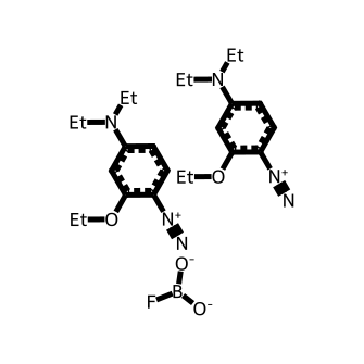 CCOc1cc(N(CC)CC)ccc1[N+]#N.CCOc1cc(N(CC)CC)ccc1[N+]#N.[O-]B([O-])F